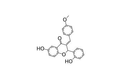 COc1ccc(C=C2C(=O)c3cc(O)ccc3OC2c2ccccc2O)cc1